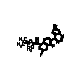 CC(C)(C)OC(=O)NCc1ccc(-c2ncnn3cc(Br)cc23)c(F)c1CC(F)F